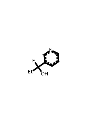 CCC(O)(F)c1[c]nccc1